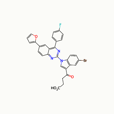 O=C(O)CCC(=O)c1cn(-c2nc(-c3ccc(F)cc3)c3cc(-c4ccco4)ccc3n2)c2ccc(Br)cc12